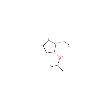 CC[C@H]1CCC[C@H]1OC(C)C